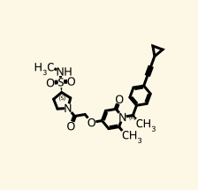 CNS(=O)(=O)[C@H]1CCN(C(=O)COc2cc(C)n([C@H](C)c3ccc(C#CC4CC4)cc3)c(=O)c2)C1